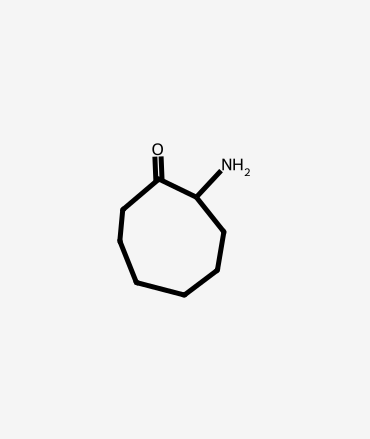 NC1CCCCCCC1=O